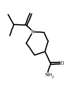 C=C(C(C)C)N1CCC(C(N)=O)CC1